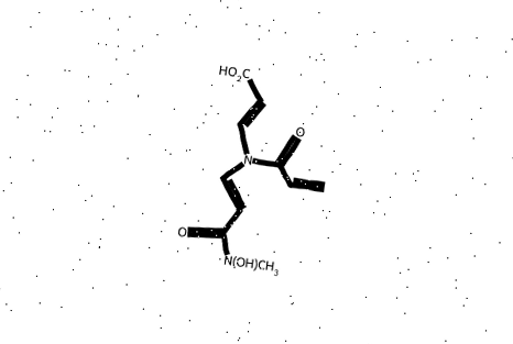 C=CC(=O)N(C=CC(=O)O)C=CC(=O)N(C)O